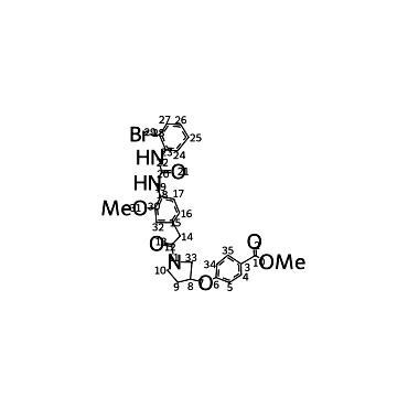 COC(=O)c1ccc(OC2CCN(C(=O)Cc3ccc(NC(=O)Nc4ccccc4Br)c(OC)c3)C2)cc1